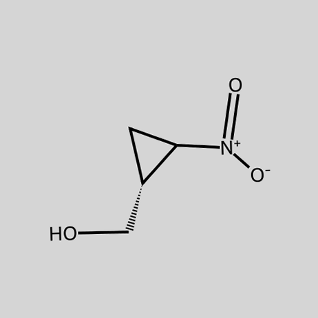 O=[N+]([O-])C1C[C@H]1CO